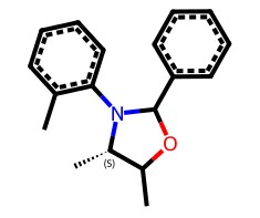 Cc1ccccc1N1C(c2ccccc2)OC(C)[C@@H]1C